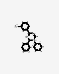 Brc1cccc(C2=NC(c3ccccc3)N(c3ccccc3)C=N2)c1